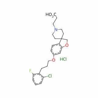 Cl.O=C(O)CCN1CCC2(CC1)COc1cc(OCCCc3c(F)cccc3Cl)ccc12